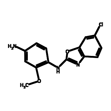 COc1cc(N)ccc1Nc1nc2ccc(Cl)cc2o1